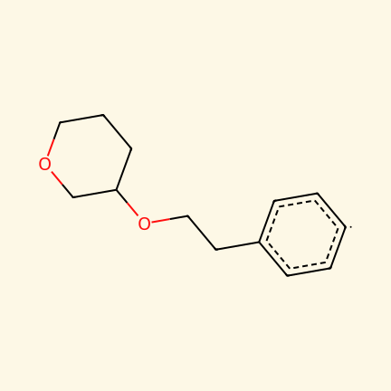 [c]1ccc(CCOC2CCCOC2)cc1